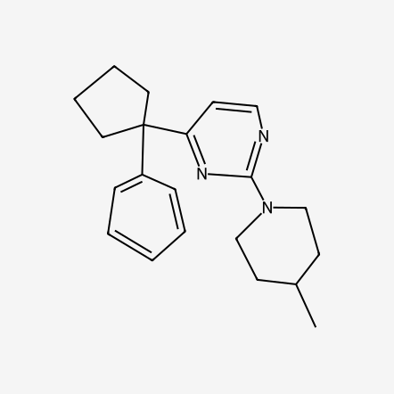 CC1CCN(c2nccc(C3(c4ccccc4)CCCC3)n2)CC1